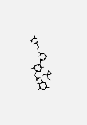 O=C(O)c1cc(F)c2nc(Cc3cc(F)c(-c4cccc(OCc5ncc(C(F)(F)F)s5)n4)cc3F)n(CC3(CF)CC3)c2c1